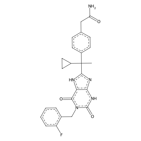 CC(c1ccc(CC(N)=O)cc1)(c1nc2[nH]c(=O)n(Cc3ccccc3F)c(=O)c2[nH]1)C1CC1